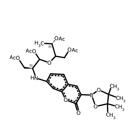 CC(=O)OCC(OC(OC(C)=O)[C@H](COC(C)=O)Nc1ccc2cc(B3OC(C)(C)C(C)(C)O3)c(=O)oc2c1)[C@H](C)OC(C)=O